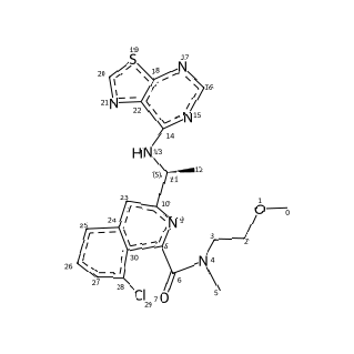 COCCN(C)C(=O)c1nc([C@H](C)Nc2ncnc3scnc23)cc2cccc(Cl)c12